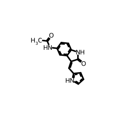 CC(=O)Nc1ccc2c(c1)C(=Cc1ccc[nH]1)C(=O)N2